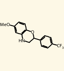 COc1ccc2c(c1)NCC(c1ccc(C(F)(F)F)cc1)O2